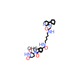 CN(C(=O)c1ccc(C(=O)NCCCCCCNC(=O)Cn2c3ccccc3c3ccncc32)cc1C=O)C1CCC(=O)NC1=O